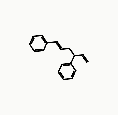 C=CC(CC=Cc1ccccc1)c1ccccc1